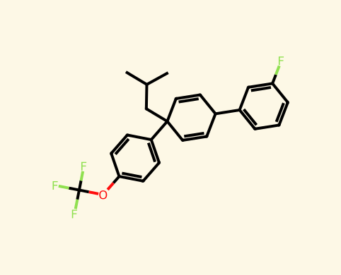 CC(C)CC1(c2ccc(OC(F)(F)F)cc2)C=CC(c2cccc(F)c2)C=C1